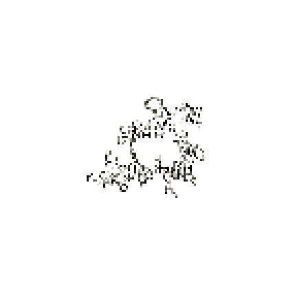 CC(=O)[C@@H]1CSSC[C@H](NC(=O)CN2C(=O)N[C@@H](C(C)C)C2=O)C(=O)N[C@H](C)C(=O)N[C@@H](Cc2cnc[nH]2)C(=O)N[C@H](Cc2ccccc2)C(=O)N[C@@H](CCCNC(=N)N)C(=O)N[C@@H](Cc2c[nH]c3ccccc23)C(=O)N1